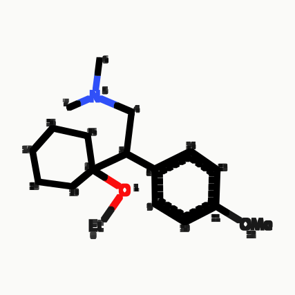 CCOC1(C(CN(C)C)c2ccc(OC)cc2)CCCCC1